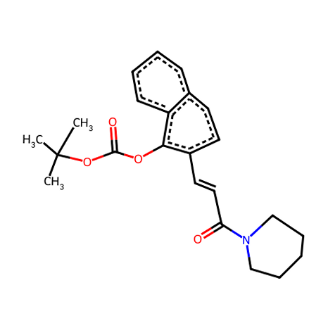 CC(C)(C)OC(=O)Oc1c(/C=C/C(=O)N2CCCCC2)ccc2ccccc12